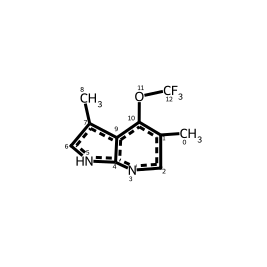 Cc1cnc2[nH]cc(C)c2c1OC(F)(F)F